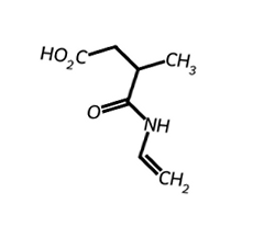 C=CNC(=O)C(C)CC(=O)O